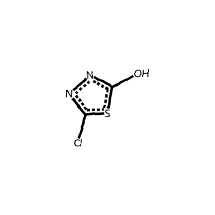 Oc1nnc(Cl)s1